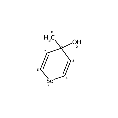 CC1(O)C=C[Se]C=C1